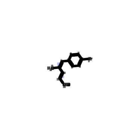 CC(=C/c1ccc(C(C)C)cc1)/C=C/C=O